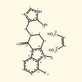 CCCc1[nH]cnc1CN1CCc2c(c3cccc(F)c3n2C)C1=O.O=C(O)/C=C\C(=O)O